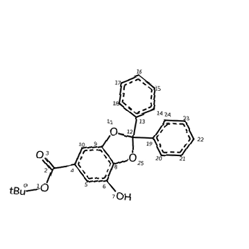 CC(C)(C)OC(=O)c1cc(O)c2c(c1)OC(c1ccccc1)(c1ccccc1)O2